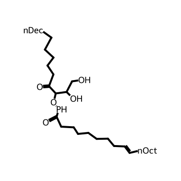 CCCCCCCCC=CCCCCCCCC(=O)POC(C(=O)CCCCCCCCCCCCCCC)C(O)CO